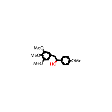 COc1ccc(C(O)Cc2cc(OC)c(OC)c(OC)c2)cc1